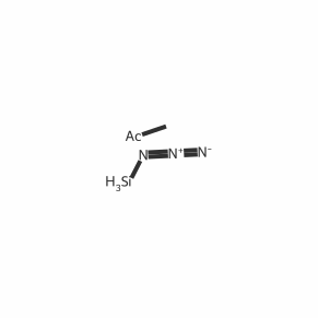 CC(C)=O.[N-]=[N+]=N[SiH3]